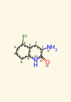 Nc1cc2c(F)cccc2[nH]c1=O